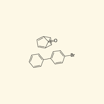 Brc1ccc(-c2ccccc2)cc1.O=C1C2=CC=C1C=C2